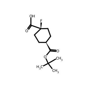 CC(C)(C)OC(=O)[C@H]1CC[C@](F)(C(=O)O)CC1